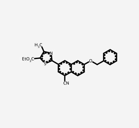 CCOC(=O)c1sc(-c2cc(C#N)c3ccc(OCc4ccccc4)cc3c2)nc1C